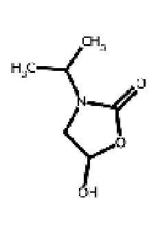 CC(C)N1CC(O)OC1=O